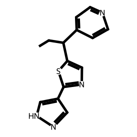 CCC(c1ccncc1)c1cnc(-c2cn[nH]c2)s1